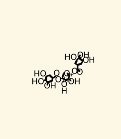 O=C(OC[C@H]1OC[C@H](OC(=O)c2cc(O)c(O)c(O)c2)[C@@H](O)[C@@H]1O)c1cc(O)c(O)c(O)c1